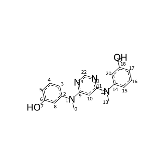 CN(c1cccc(O)c1)c1cc(N(C)c2cccc(O)c2)ncn1